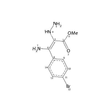 COC(=O)/C(NN)=C(/N)c1ccc(Br)cc1